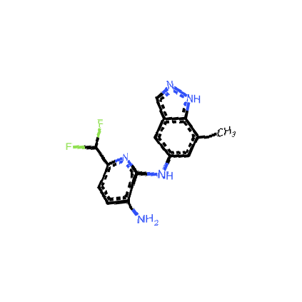 Cc1cc(Nc2nc(C(F)F)ccc2N)cc2cn[nH]c12